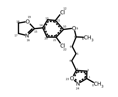 Cc1cc(CCCC(C)Oc2c(Cl)cc(C3=NCCO3)cc2Cl)on1